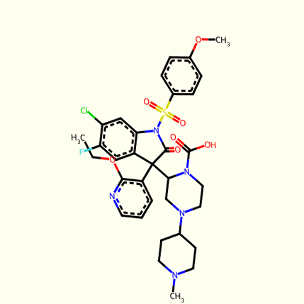 CCOc1ncccc1C1(C2CN(C3CCN(C)CC3)CCN2C(=O)O)C(=O)N(S(=O)(=O)c2ccc(OC)cc2)c2cc(Cl)c(F)cc21